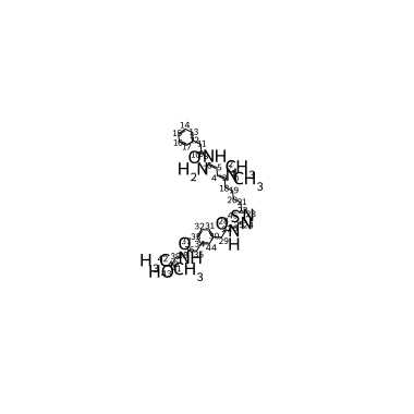 CN(C)/C(=C\C=C(/N)NC(=O)Cc1ccccc1)CCCCc1nnc(NC(=O)Cc2cccc(CC(=O)NCC(C)(C)O)c2)s1